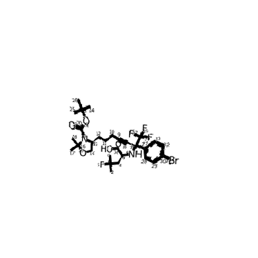 CC(C)(F)C[C@H](N[C@@](C#CCCC[C@H]1COC(C)(C)N1C(=O)OC(C)(C)C)(c1ccc(Br)cc1)C(F)(F)F)C(=O)O